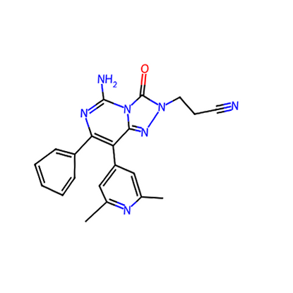 Cc1cc(-c2c(-c3ccccc3)nc(N)n3c(=O)n(CCC#N)nc23)cc(C)n1